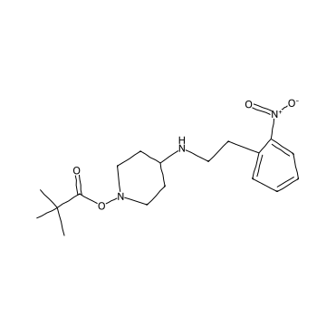 CC(C)(C)C(=O)ON1CCC(NCCc2ccccc2[N+](=O)[O-])CC1